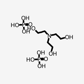 O=P(O)(O)O.O=P(O)(O)O.OCCN(CCO)CCO